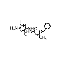 C[C@H](CC(=O)NNc1n[nH]c(N)nc1=O)OCc1ccccc1